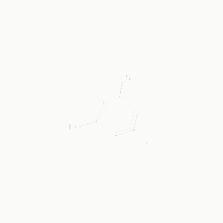 CC(=O)c1cc(O)c(O)c(C#N)c1